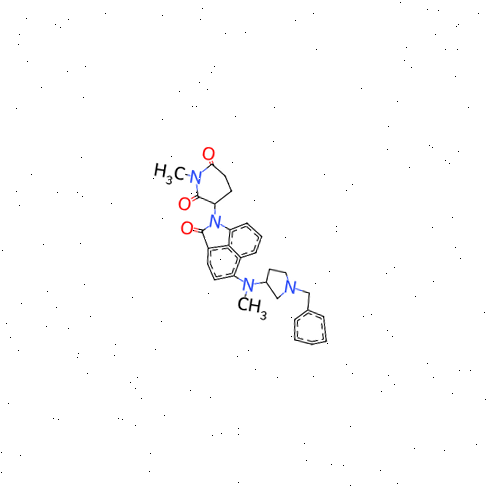 CN1C(=O)CCC(N2C(=O)c3ccc(N(C)C4CCN(Cc5ccccc5)C4)c4cccc2c34)C1=O